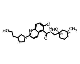 C[C@@H]1CCC[C@](O)(CNC(=O)c2c(Cl)ccc3nc(N4CCC(CCO)C4)ccc23)C1